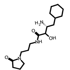 N[C@H](CC1CCCCC1)C(O)C(=O)NCCCN1CCCC1=O